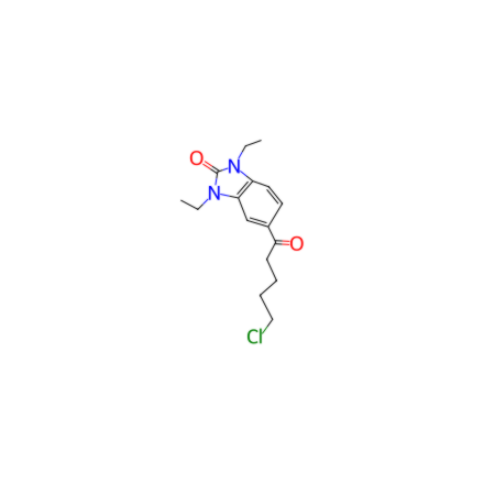 CCn1c(=O)n(CC)c2cc(C(=O)CCCCCl)ccc21